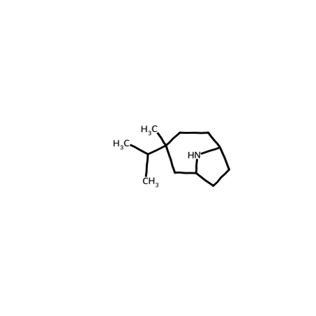 CC(C)C1(C)CCC2CCC(C1)N2